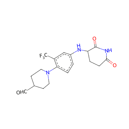 O=CC1CCN(c2ccc(NC3CCC(=O)NC3=O)cc2C(F)(F)F)CC1